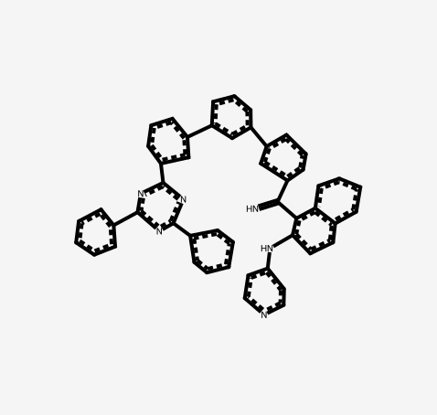 N=C(c1cccc(-c2cccc(-c3cccc(-c4nc(-c5ccccc5)nc(-c5ccccc5)n4)c3)c2)c1)c1c(Nc2ccncc2)ccc2ccccc12